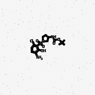 CC(C)(C)OC(=O)NC1CCN(S(=O)(=O)c2c(Cl)ccc(N)c2O)C1